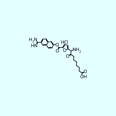 Cl.N=C(N)c1ccc2cc(OC(=O)c3ccc(C(N)C(=O)CCCCCCC(=O)O)o3)ccc2c1